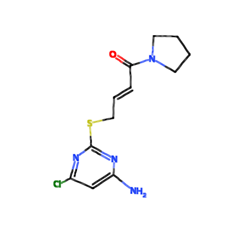 Nc1cc(Cl)nc(SCC=CC(=O)N2CCCC2)n1